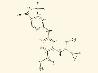 CC1(C)NC(=O)c2ccc(Nc3ncc(C(=O)NN)c(N[C@H](CO)C4CC4)n3)cc21